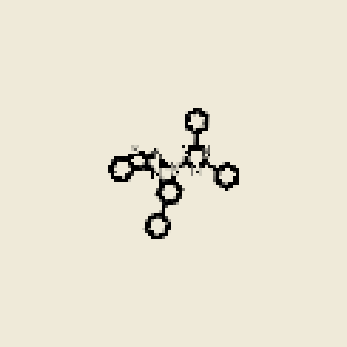 c1ccc(-c2ccc3c(c2)n2c4c(nc2n3-c2nc(-c3ccccc3)nc(-c3ccccc3)n2)sc2ccccc24)cc1